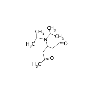 CC(=O)CC(CC=O)N(C(C)C)C(C)C